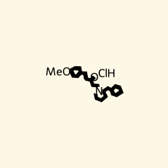 COc1ccc(C=CC(=O)CCN2CCCCC2Cc2ccccc2)cc1.Cl